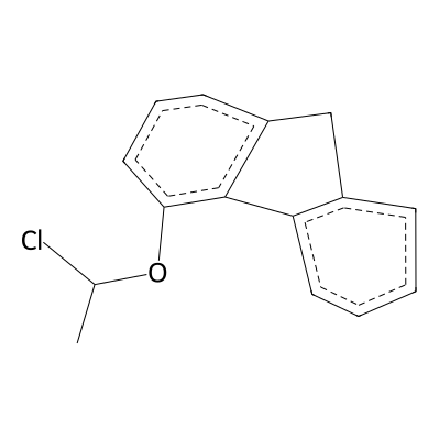 CC(Cl)Oc1cccc2c1-c1ccccc1C2